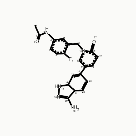 CC(=O)Nc1ccc(F)c(Cn2cc(C3=CC4NN=C(N)C4C=C3)ccc2=O)c1